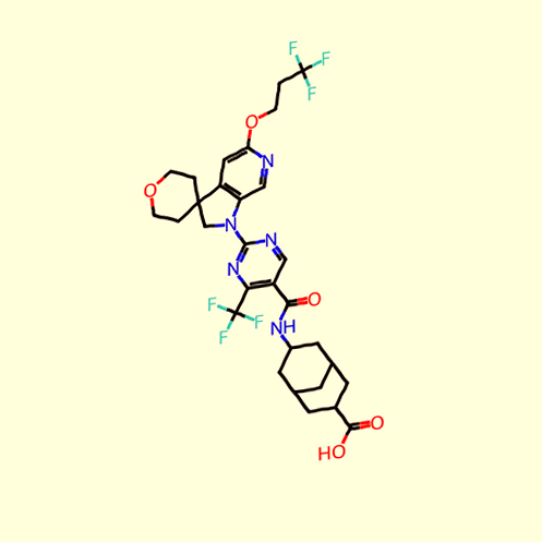 O=C(NC1CC2CC(C1)CC(C(=O)O)C2)c1cnc(N2CC3(CCOCC3)c3cc(OCCC(F)(F)F)ncc32)nc1C(F)(F)F